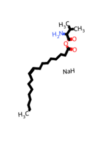 CCCCCCCC/C=C\CCCCCCCC(=O)OC(=O)C(N)C(C)C.[NaH]